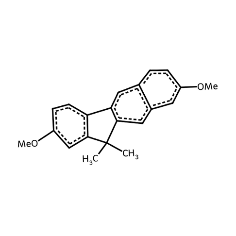 COc1ccc2c(c1)C(C)(C)c1cc3cc(OC)ccc3cc1-2